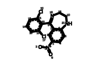 O=[N+]([O-])c1ccc2c(c1)C(c1c(Cl)cccc1Cl)=NCCN2